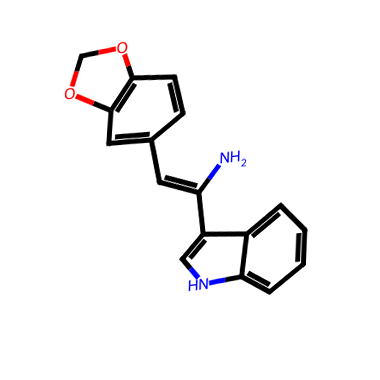 N/C(=C\c1ccc2c(c1)OCO2)c1c[nH]c2ccccc12